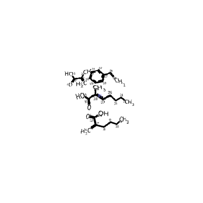 C=C(C)C(=O)O.C=C(CCCC)C(=O)O.C=Cc1ccccc1.CCCC/C=C(\C)C(=O)O